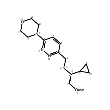 COC[C@@H](NCc1ccc(N2CCOCC2)nn1)C1CC1